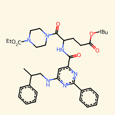 CCOC(=O)N1CCN(C(=O)C(CCC(=O)OC(C)(C)C)NC(=O)c2cc(NCC(C)c3ccccc3)nc(-c3ccccc3)n2)CC1